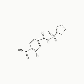 O=C(NS(=O)(=O)N1CCCC1)c1ccc(C(=O)O)c(Cl)c1